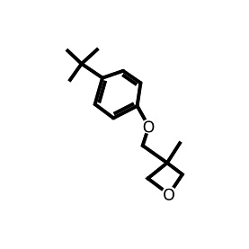 CC1(COc2ccc(C(C)(C)C)cc2)COC1